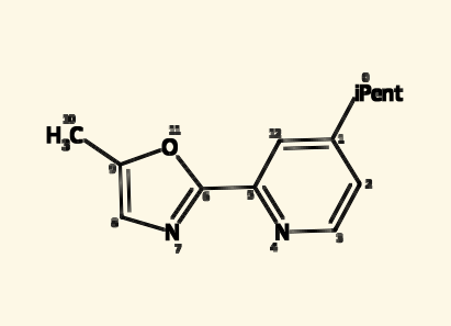 CCCC(C)c1ccnc(-c2ncc(C)o2)c1